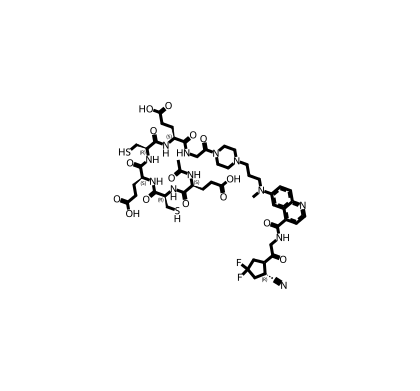 CC(=O)N[C@@H](CCC(=O)O)C(=O)N[C@@H](CS)C(=O)N[C@@H](CCC(=O)O)C(=O)N[C@@H](CS)C(=O)N[C@@H](CCC(=O)O)C(=O)NCC(=O)N1CCN(CCCN(C)c2ccc3nccc(C(=O)NCC(=O)C4CC(F)(F)C[C@H]4C#N)c3c2)CC1